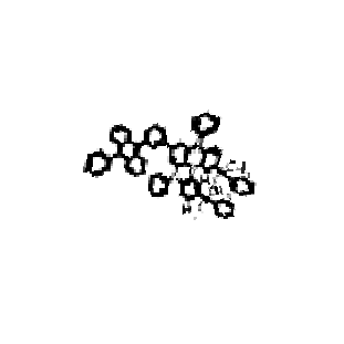 CC(C)(c1ccccc1)c1ccc2c(c1)B1c3cc(C(C)(C)c4ccccc4)ccc3N(c3ccccc3)c3cc(-c4cccc(-c5c6ccccc6c(-c6ccccc6)c6ccccc56)c4)cc(c31)N2c1ccccc1